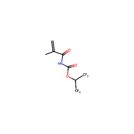 C=C(C)C(=O)NC(=O)OC(C(F)(F)F)C(F)(F)F